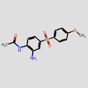 COc1ccc(S(=O)(=O)c2ccc(NC(C)=O)c(N)c2)cc1